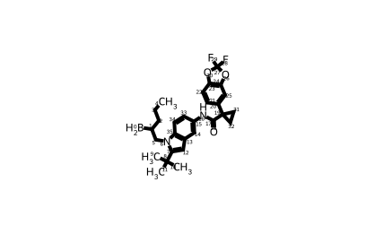 BC(CCC)Cn1c(C(C)(C)C)cc2cc(NC(=O)C3(c4ccc5c(c4)OC(F)(F)O5)CC3)ccc21